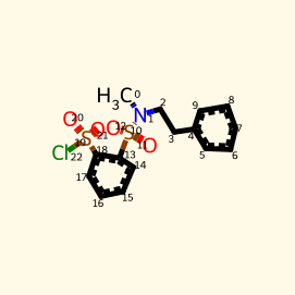 CN(CCc1ccccc1)S(=O)(=O)c1ccccc1S(=O)(=O)Cl